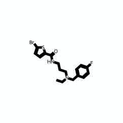 CCN(CCCNC(=O)c1ccc(Br)s1)Cc1ccc(F)cc1